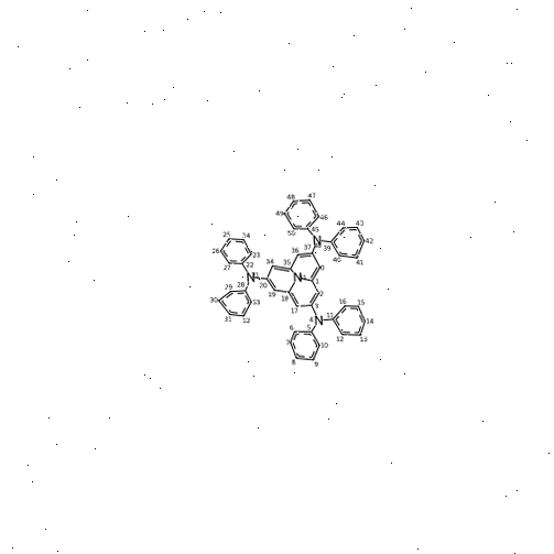 C1=C2C=C(N(c3ccccc3)c3ccccc3)C=C3C=C(N(c4ccccc4)c4ccccc4)C=C(C=C1N(c1ccccc1)c1ccccc1)N23